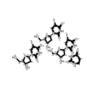 O=c1[nH]c(=O)n([C@H]2C[C@H](O)[C@@H](CO)O2)cc1F.O=c1[nH]c(=O)n([C@H]2C[C@H](O)[C@@H](CO)O2)cc1F.O=c1[nH]c(=O)n([C@H]2C[C@H](O)[C@@H](CO)O2)cc1F.O=c1cc[nH]c(=O)[nH]1